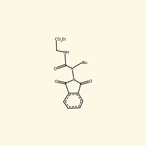 CCOC(=O)CNC(=O)N(C(C)CC)N1C(=O)c2ccccc2C1=O